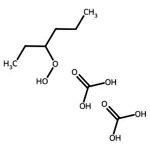 CCCC(CC)OO.O=C(O)O.O=C(O)O